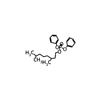 CC(C)CCCC(C)CCOP(=O)(Oc1ccccc1)Oc1ccccc1